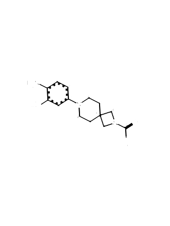 Nc1ccc(N2CCC3(CC2)CN(C(=O)O)C3)cc1O